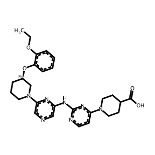 CCOc1ccccc1O[C@@H]1CCCN(c2cncc(Nc3nccc(N4CCC(C(=O)O)CC4)n3)n2)C1